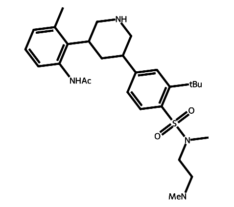 CNCCN(C)S(=O)(=O)c1ccc(C2CNCC(c3c(C)cccc3NC(C)=O)C2)cc1C(C)(C)C